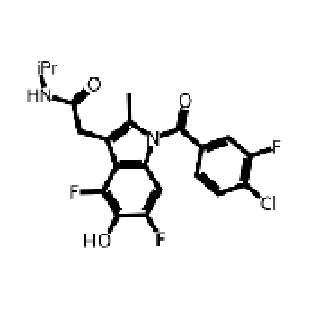 Cc1c(CC(=O)NC(C)C)c2c(F)c(O)c(F)cc2n1C(=O)c1ccc(Cl)c(F)c1